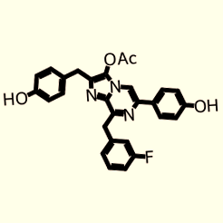 CC(=O)Oc1c(Cc2ccc(O)cc2)nc2c(Cc3cccc(F)c3)nc(-c3ccc(O)cc3)cn12